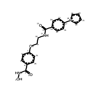 O=C(NO)c1ccc(OCCNC(=O)c2ccc(-n3cccc3)cc2)cc1